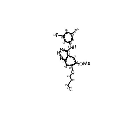 COc1cc2c(Nc3cc(F)cc(F)c3)nnnc2cc1OCCCCl